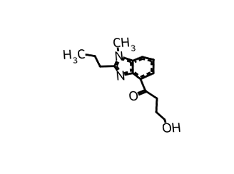 CCCc1nc2c(C(=O)CCCO)cccc2n1C